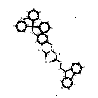 O=C(N[C@@H](Cc1ccc(OC(c2ccccc2)(c2ccccc2)c2ccccc2Cl)cc1)C(=O)O)OCC1c2ccccc2-c2ccccc21